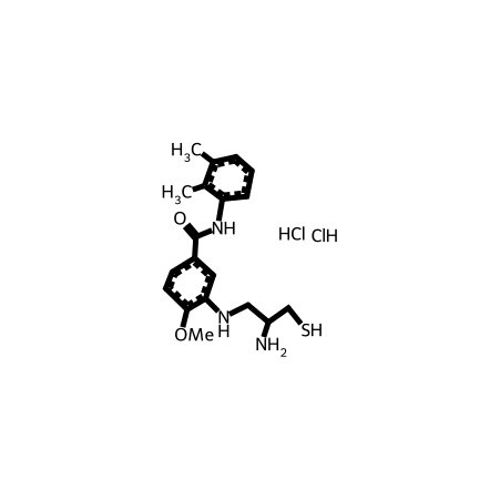 COc1ccc(C(=O)Nc2cccc(C)c2C)cc1NCC(N)CS.Cl.Cl